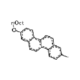 CCCCCCCCOc1ccc2c(ccc3c4ccc(C)cc4ccc23)c1